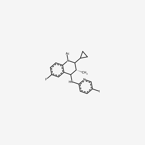 CC(=O)N1c2ccc(F)cc2C(Nc2ccc(I)cn2)[C@@H](C)C1C1CC1